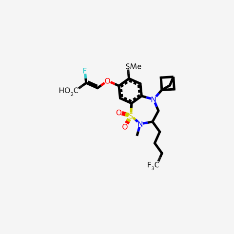 CSc1cc2c(cc1O/C=C(\F)C(=O)O)S(=O)(=O)N(C)C(CCCC(F)(F)F)CN2C12CC(C1)C2